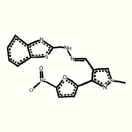 Cn1cc(C=NNc2nc3ccccc3s2)c(-c2ccc([N+](=O)[O-])o2)n1